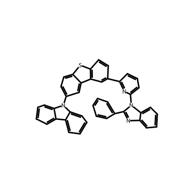 c1ccc(-c2nc3ccccc3n2-c2cccc(-c3ccc4sc5ccc(-n6c7ccccc7c7ccccc76)cc5c4c3)n2)cc1